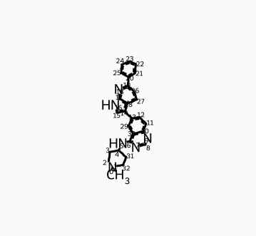 CN1CCC(Nc2ncnc3ccc(-c4c[nH]c5nc(-c6ccccc6)ccc45)cc23)CC1